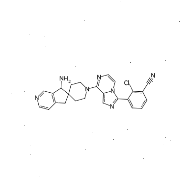 N#Cc1cccc(-c2ncc3c(N4CCC5(CC4)Cc4ccncc4C5N)nccn23)c1Cl